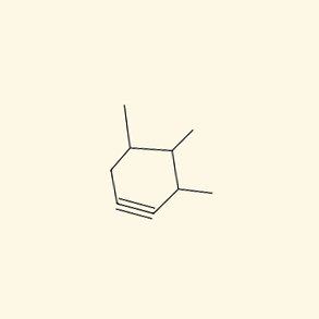 CC1C#CCC(C)C1C